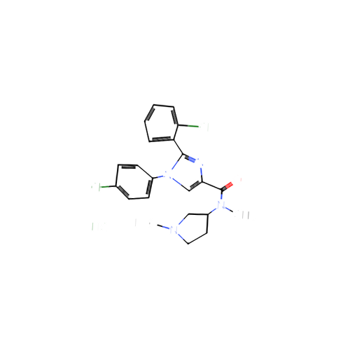 CN1CCC(N(C)C(=O)c2cn(-c3ccc(Cl)cc3)c(-c3ccccc3Cl)n2)C1.Cl